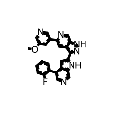 COc1cncc(-c2cc3c(-c4cc5c(-c6ccccc6F)cncc5[nH]4)n[nH]c3cn2)c1